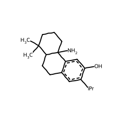 CC(C)c1cc2c(cc1O)C1(N)CCCC(C)(C)C1CC2